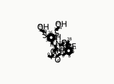 CCOC(=O)[C@H](Cc1ccc(F)cc1)NC(=O)[C@H](Cc1cc(SCCO)cc(SCCO)c1)NC(=O)OC(C)(C)C